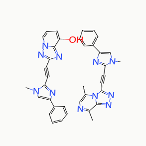 Cc1ncc(C)n2c(C#Cc3nc(-c4ccccc4)cn3C)nnc12.Cn1cc(-c2ccccc2)nc1C#Cc1nc2c(O)cccn2n1